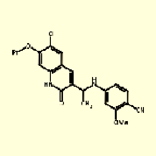 COc1cc(NC(C)c2cc3cc(Cl)c(OC(C)C)cc3[nH]c2=O)ccc1C#N